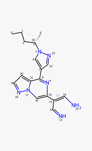 CCC[C@H](C)n1cc(-c2nc(/C(C=N)=C/N)cn3nccc23)cn1